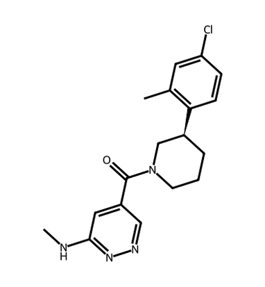 CNc1cc(C(=O)N2CCC[C@H](c3ccc(Cl)cc3C)C2)cnn1